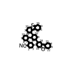 N#Cc1ccccc1-c1ccccc1-c1cc(-c2ccc3oc4ccccc4c3c2)ccc1-c1cccc2sc3ccccc3c12